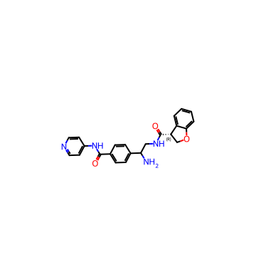 NC(CNC(=O)[C@H]1COc2ccccc21)c1ccc(C(=O)Nc2ccncc2)cc1